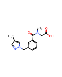 Cc1cnn(Cc2cccc(C(=O)N(C)CC(=O)O)c2)c1